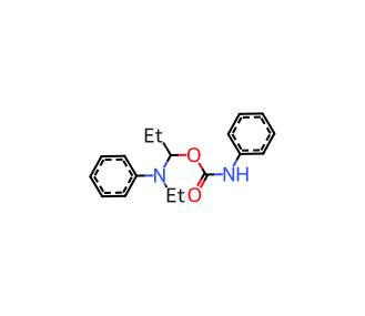 CCC(OC(=O)Nc1ccccc1)N(CC)c1ccccc1